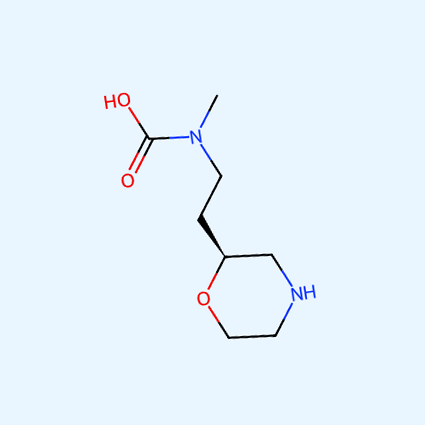 CN(CC[C@H]1CNCCO1)C(=O)O